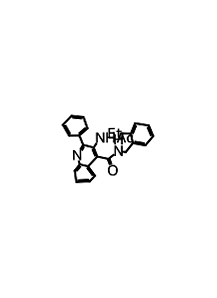 CCc1ccccc1CNC(=O)c1c(NC(C)=O)c(-c2ccccc2)nc2ccccc12